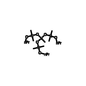 CCCO[Si](C)(C)O[Si](C)(O[Si](C)(C)OCCC)O[Si](C)(C)OCCC